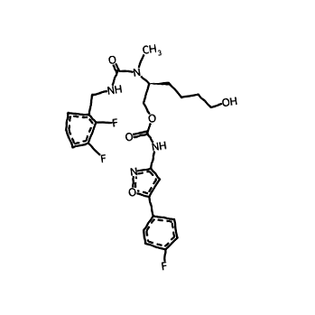 CN(C(=O)NCc1cccc(F)c1F)[C@@H](CCCCO)COC(=O)Nc1cc(-c2ccc(F)cc2)on1